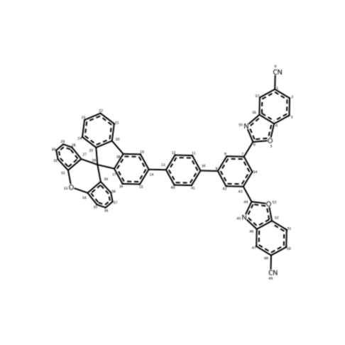 N#Cc1ccc2oc(-c3cc(-c4ccc(-c5ccc6c(c5)-c5ccccc5C65c6ccccc6Oc6ccccc65)cc4)cc(-c4nc5cc(C#N)ccc5o4)c3)nc2c1